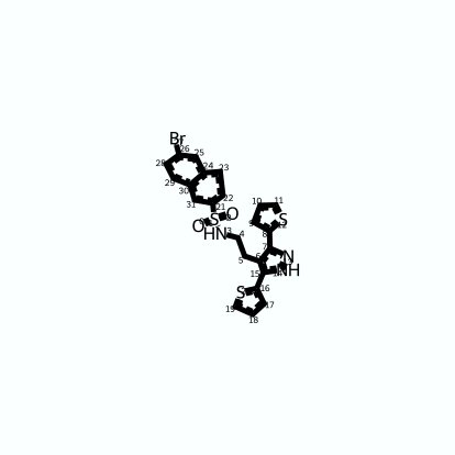 O=S(=O)(NCCc1c(-c2cccs2)n[nH]c1-c1cccs1)c1ccc2cc(Br)ccc2c1